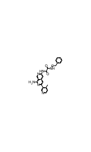 Cc1ccncc1-c1cc2cc(NC(=O)C(=O)NOCc3ccccc3)ncc2c(N)n1